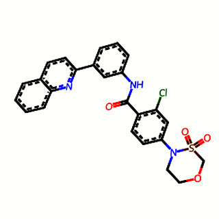 O=C(Nc1cccc(-c2ccc3ccccc3n2)c1)c1ccc(N2CCOCS2(=O)=O)cc1Cl